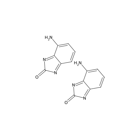 Nc1cccc2c1=NC(=O)N=2.Nc1cccc2c1=NC(=O)N=2